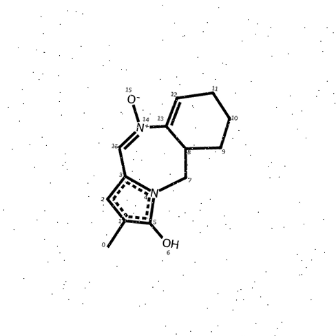 Cc1cc2n(c1O)CC1CCCC=C1[N+]([O-])=C2